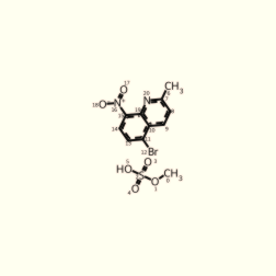 COS(=O)(=O)O.Cc1ccc2c(Br)ccc([N+](=O)[O-])c2n1